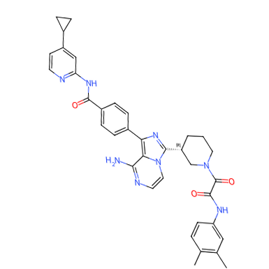 Cc1ccc(NC(=O)C(=O)N2CCC[C@@H](c3nc(-c4ccc(C(=O)Nc5cc(C6CC6)ccn5)cc4)c4c(N)nccn34)C2)cc1C